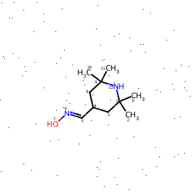 CC1(C)CC(C=NO)CC(C)(C)N1